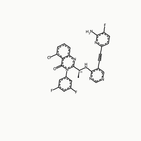 C[C@H](Nc1ncncc1C#Cc1ccc(F)c(N)n1)c1nc2cccc(Cl)c2c(=O)n1-c1cc(F)cc(F)c1